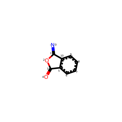 [N]=C1OC(=O)c2ccc[c]c21